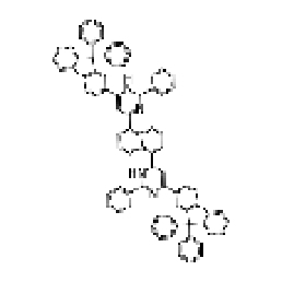 C1=C(c2ccc3c(c2)C(c2ccccc2)(c2ccccc2)c2ccccc2-3)N=C(c2ccccc2)NC1c1cccc2c(C3=NC(c4ccccc4)NC(c4ccc5c(c4)C(c4ccccc4)(c4ccccc4)c4ccccc4-5)=C3)cccc12